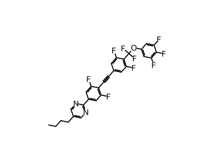 CCCCc1cnc(-c2cc(F)c(C#Cc3cc(F)c(C(F)(F)Oc4cc(F)c(F)c(F)c4)c(F)c3)c(F)c2)nc1